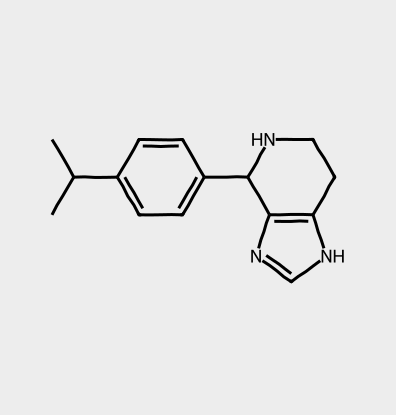 CC(C)c1ccc(C2NCCc3[nH]cnc32)cc1